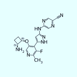 Cc1ncc(O[C@@H]2CC[C@@H]2N)c(-c2cc(Nc3cnc(C#N)cn3)n[nH]2)c1F